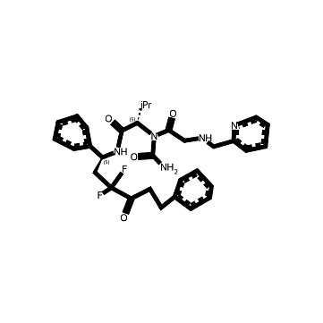 CC(C)[C@@H](C(=O)N[C@@H](CC(F)(F)C(=O)CCc1ccccc1)c1ccccc1)N(C(N)=O)C(=O)CNCc1ccccn1